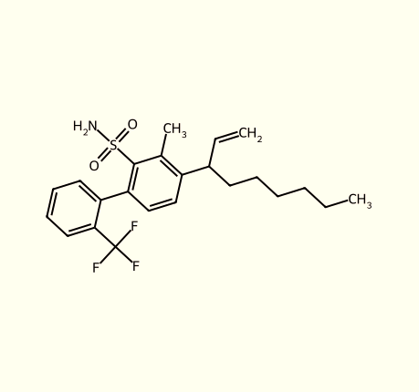 C=CC(CCCCCC)c1ccc(-c2ccccc2C(F)(F)F)c(S(N)(=O)=O)c1C